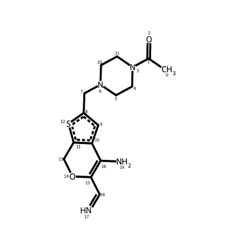 CC(=O)N1CCN(Cc2cc3c(s2)COC(C=N)=C3N)CC1